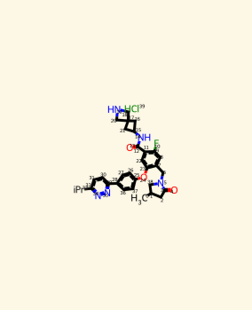 CC1CC(=O)N(Cc2cc(F)c(C(=O)NC3CC4(CNC4)C3)cc2Oc2ccc(-c3ccc(C(C)C)nn3)cc2)C1.Cl